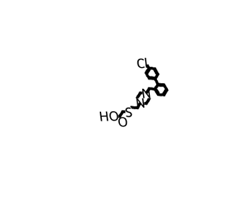 O=C(O)CSCCN1CCN(Cc2ccccc2-c2ccc(Cl)cc2)CC1